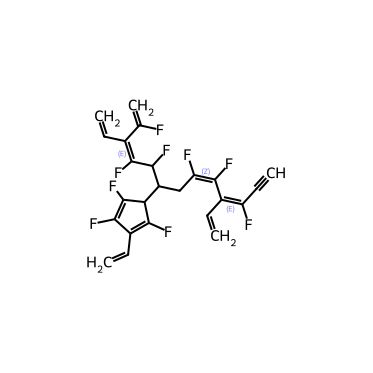 C#C/C(F)=C(C=C)\C(F)=C(\F)CC(C1C(F)=C(F)C(C=C)=C1F)C(F)/C(F)=C(/C=C)C(=C)F